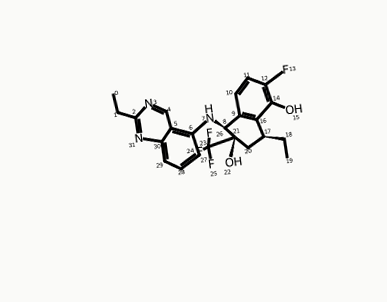 CCc1ncc2c(N[C@H]3c4ccc(F)c(O)c4[C@@H](CC)C[C@]3(O)C(F)(F)F)cccc2n1